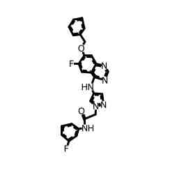 O=C(Cn1cc(Nc2ncnc3cc(OCc4ccccc4)c(F)cc23)cn1)Nc1cccc(F)c1